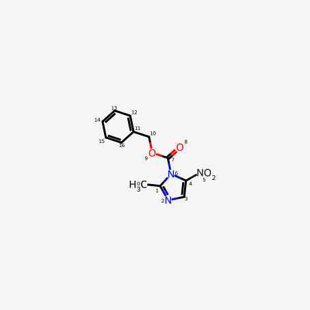 Cc1ncc([N+](=O)[O-])n1C(=O)OCc1ccccc1